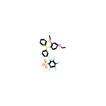 CCOc1ccc([S+](c2ccccc2)c2ccccc2)c(OCC)c1.O=S(=O)([O-])c1c(F)c(F)c(F)c(F)c1F